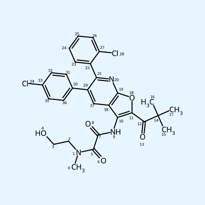 CN(CCO)C(=O)C(=O)Nc1c(C(=O)C(C)(C)C)oc2nc(-c3ccccc3Cl)c(-c3ccc(Cl)cc3)cc12